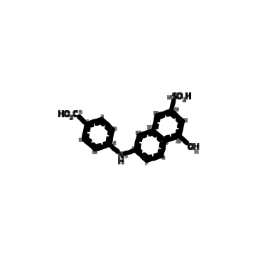 O=C(O)c1ccc(Nc2ccc3c(O)cc(S(=O)(=O)O)cc3c2)cc1